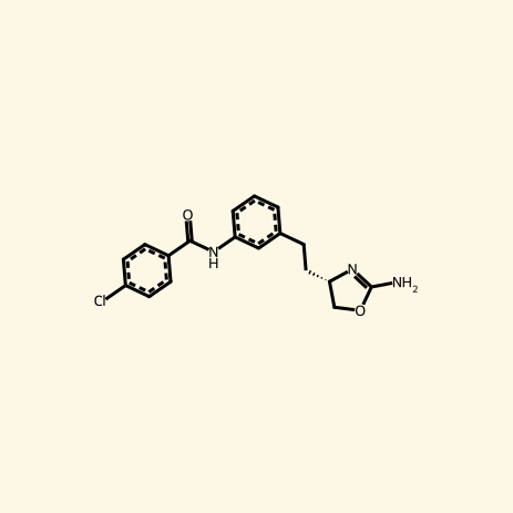 NC1=N[C@@H](CCc2cccc(NC(=O)c3ccc(Cl)cc3)c2)CO1